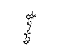 O=C(NCCCCN1CCN(c2cccc3[nH]c(=O)[nH]c23)CC1)C1=Cc2ccccc2SC1